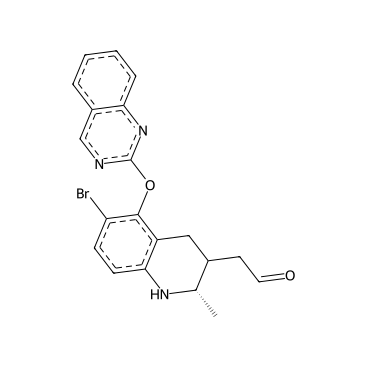 C[C@@H]1Nc2ccc(Br)c(Oc3ncc4ccccc4n3)c2CC1CC=O